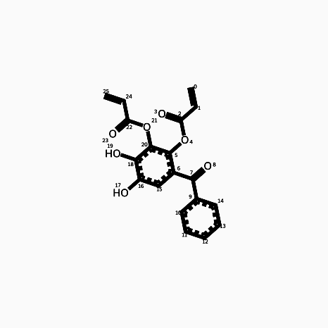 C=CC(=O)Oc1c(C(=O)c2ccccc2)cc(O)c(O)c1OC(=O)C=C